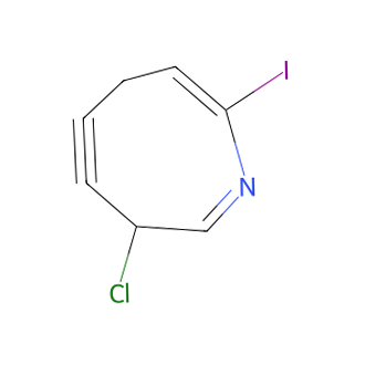 ClC1C#CC/C=C(I)\N=C/1